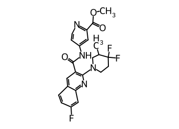 COC(=O)c1cc(NC(=O)c2cc3ccc(F)cc3nc2N2CCC(F)(F)C(C)C2)ccn1